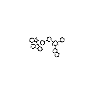 c1ccc(-c2nc(-c3cccc(-c4ccc5c(c4)-c4sc6ccccc6c4C54c5ccccc5-c5ccccc54)c3)nc(-c3ccc4ccccc4c3)n2)cc1